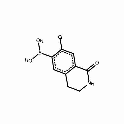 O=C1NCCc2cc(B(O)O)c(Cl)cc21